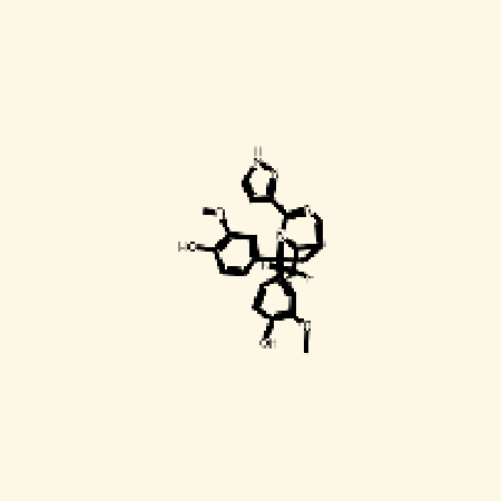 COc1cc(C2(c3ccc(O)c(OC)c3)CC3=CN=C(c4cc[nH]n4)N2C3C(F)(F)F)ccc1O